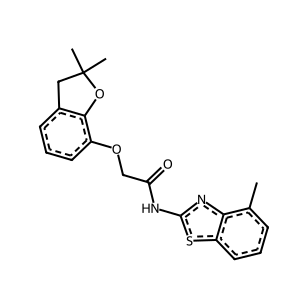 Cc1cccc2sc(NC(=O)COc3cccc4c3OC(C)(C)C4)nc12